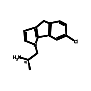 C[C@@H](N)Cn1ccc2c1-c1cc(Cl)ccc1C2